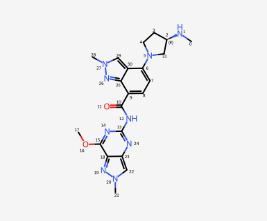 CN[C@@H]1CCN(c2ccc(C(=O)Nc3nc(OC)c4nn(C)cc4n3)c3nn(C)cc23)C1